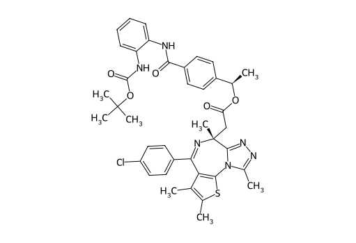 Cc1sc2c(c1C)C(c1ccc(Cl)cc1)=N[C@](C)(CC(=O)O[C@H](C)c1ccc(C(=O)Nc3ccccc3NC(=O)OC(C)(C)C)cc1)c1nnc(C)n1-2